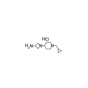 Cl.NC1CN(C2CCN(CC3CC3)CC2)C1